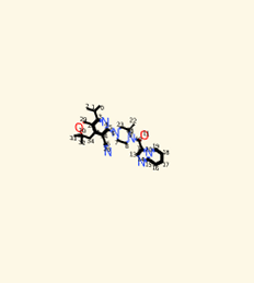 CC(C)c1nc(N2CCN(C(=O)c3cnc4ccccn34)[C@H](C)C2)c(C#N)c2c1COC(C)(C)C2